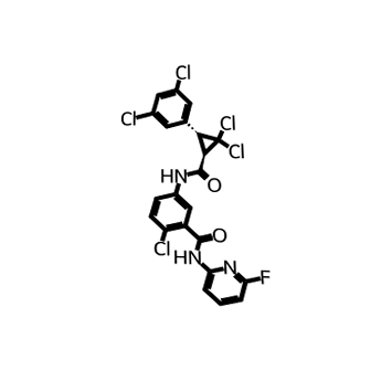 O=C(Nc1cccc(F)n1)c1cc(NC(=O)[C@H]2[C@H](c3cc(Cl)cc(Cl)c3)C2(Cl)Cl)ccc1Cl